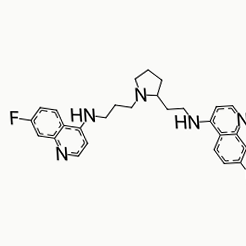 Fc1ccc2c(NCCCN3CCCC3CCNc3ccnc4cc(F)ccc34)ccnc2c1